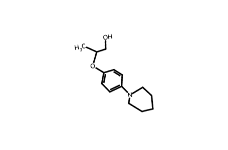 CC(CO)Oc1ccc(N2CCCCC2)cc1